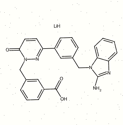 Nc1nc2ccccc2n1Cc1cccc(-c2ccc(=O)n(Cc3cccc(C(=O)O)c3)n2)c1.[LiH]